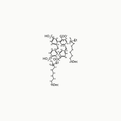 CCCCCCCCCCCCCCCC[N+](C)(C)CC.CCCCCCCCCCCCCCCC[N+](C)(C)CC.O=C(O)c1ccc(Sc2ccc(C(=O)O)cc2)cc1.O=C([O-])c1ccc(Sc2ccc(C(=O)[O-])cc2)cc1